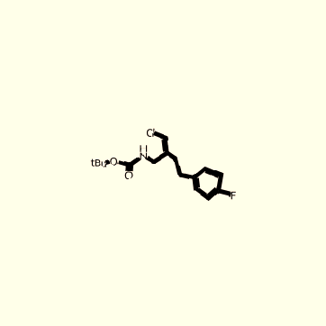 CC(C)(C)OC(=O)NC/C(=C\Cl)CCc1ccc(F)cc1